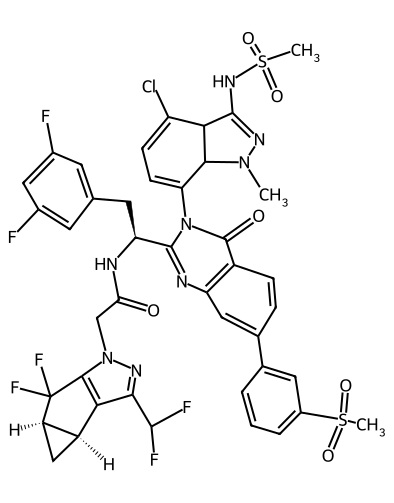 CN1N=C(NS(C)(=O)=O)C2C(Cl)=CC=C(n3c([C@H](Cc4cc(F)cc(F)c4)NC(=O)Cn4nc(C(F)F)c5c4C(F)(F)[C@@H]4C[C@H]54)nc4cc(-c5cccc(S(C)(=O)=O)c5)ccc4c3=O)C21